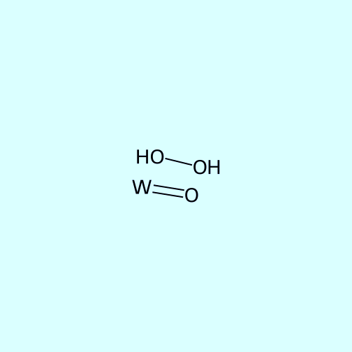 OO.[O]=[W]